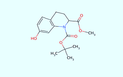 COC(=O)C1CCc2ccc(O)cc2N1C(=O)OC(C)(C)C